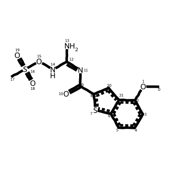 COc1cccc2sc(C(=O)N=C(N)NOS(C)(=O)=O)cc12